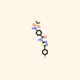 CC(C)S(=O)(=O)Nc1ccc(C(=O)Nc2nnc(-c3ccc(F)cc3)s2)cc1